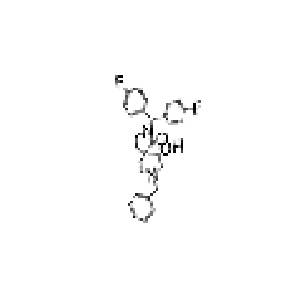 O=C1N(C(c2ccc(F)cc2)c2ccc(F)cc2)CCC12CCN(Cc1ccccc1)CC2O